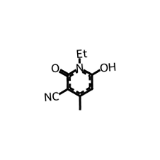 CCn1c(O)cc(C)c(C#N)c1=O